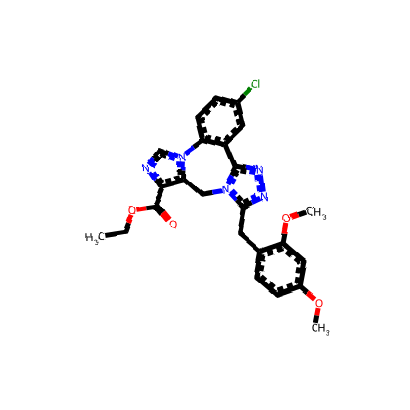 CCOC(=O)c1ncn2c1Cn1c(Cc3ccc(OC)cc3OC)nnc1-c1cc(Cl)ccc1-2